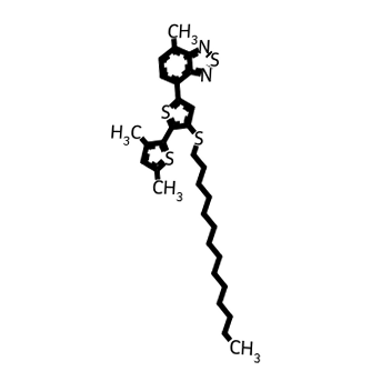 CCCCCCCCCCCCCCSc1cc(-c2ccc(C)c3nsnc23)sc1-c1sc(C)cc1C